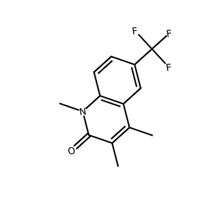 Cc1c(C)c2cc(C(F)(F)F)ccc2n(C)c1=O